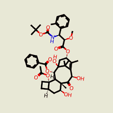 CO[C@@H](C(=O)O[C@H]1C[C@@]2(O)[C@@H](OC(=O)c3ccccc3)[C@@H]3[C@]4(OC(C)=O)CC[C@@H]4C[C@H](O)[C@@]3(C)C(=O)[C@H](O)C(=C1C)C2(C)C)[C@@H](NC(=O)OC(C)(C)C)c1ccccc1C